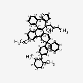 CCCCC1(O)c2ccsc2-c2ccccc2-c2c1c1c(c3cc(OC)ccc23)OC(c2ccccc2)(c2ccc(N3C(C)CCCC3C)cc2)C=C1